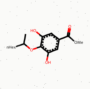 CCCCCCC(C)Oc1c(O)cc(C(=O)OC)cc1O